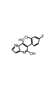 Oc1nc2ccnn2c(O)c1-c1ccc(F)cc1Cl